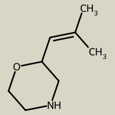 CC(C)=CC1CNCCO1